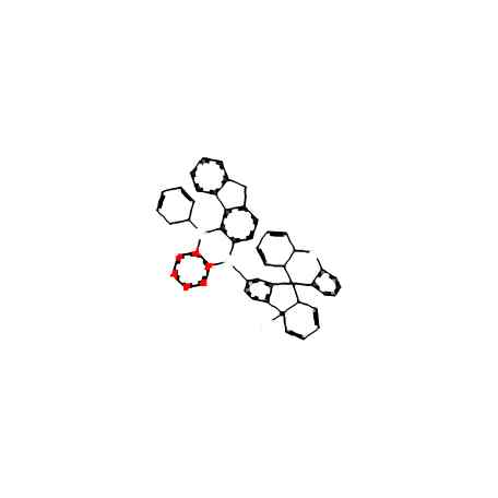 CC12C=CC=CC1C1(c3ccccc3SC3C=CC=CC31)c1cc(N(c3ccccc3)c3ccc4c(c3N(c3ccccc3)C3C=CC=CC3)-c3ccccc3C4)ccc12